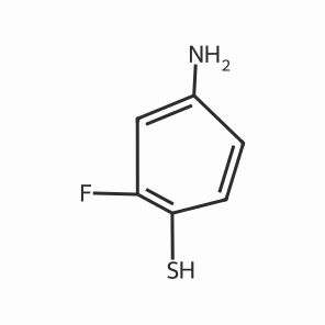 Nc1ccc(S)c(F)c1